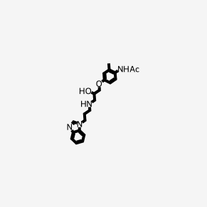 CC(=O)Nc1ccc(OCC(O)CNCCCn2cnc3ccccc32)cc1C